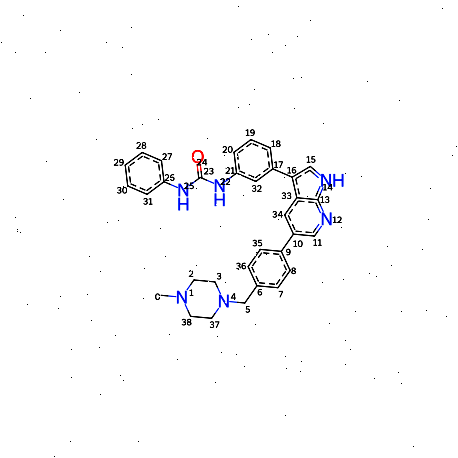 CN1CCN(Cc2ccc(-c3cnc4[nH]cc(-c5cccc(NC(=O)Nc6ccccc6)c5)c4c3)cc2)CC1